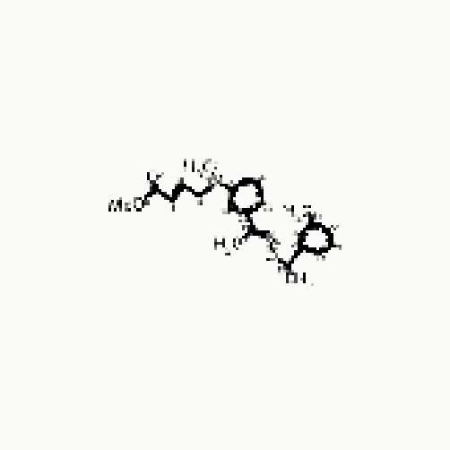 COC(=O)C=CCN(C)c1cccc(C(C)=NOC(C)c2cccc(C)c2)c1